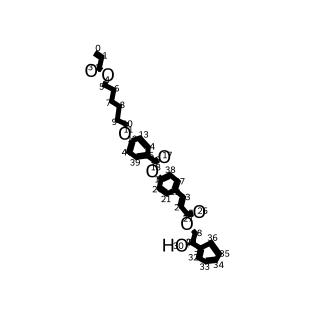 C=CC(=O)OCCCCCCOc1ccc(C(=O)Oc2ccc(C=CC(=O)OC[C@H](O)c3ccccc3)cc2)cc1